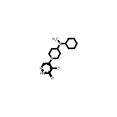 CN(C1CCCCC1)C1CCN(c2cn[nH]c(=O)c2Cl)CC1